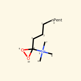 CCCCCCCCC1([N+](C)(C)C)OO1